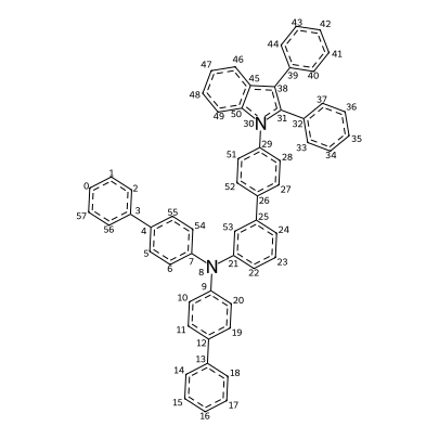 c1ccc(-c2ccc(N(c3ccc(-c4ccccc4)cc3)c3cccc(-c4ccc(-n5c(-c6ccccc6)c(-c6ccccc6)c6ccccc65)cc4)c3)cc2)cc1